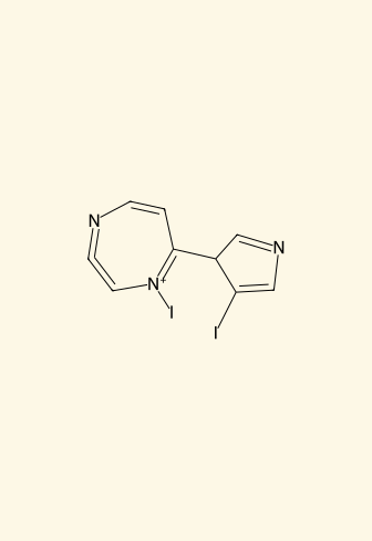 IC1=CN=CC1C1=[N+](I)C=C=NC=C1